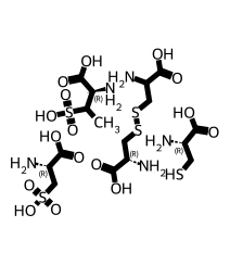 CC([C@H](N)C(=O)O)S(=O)(=O)O.NC(CSSC[C@H](N)C(=O)O)C(=O)O.N[C@@H](CS(=O)(=O)O)C(=O)O.N[C@@H](CS)C(=O)O